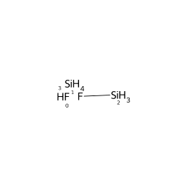 F.F[SiH3].[SiH4]